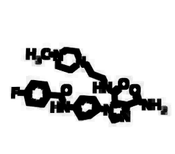 CN1CCN(CCCNC(=O)c2c(C(N)=O)ncn2-c2ccc(NC(=O)c3ccc(F)cc3)cc2)CC1